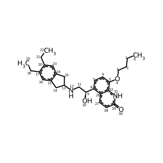 CCCCOc1ccc([C@@H](O)CNC2Cc3cc(CC)c(CC)cc3C2)c2ccc(=O)[nH]c12